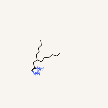 CCCCCCC(CCCCC)Cc1cnn[nH]1